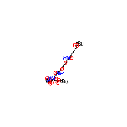 CC(C)(C)OC(=O)CCCCCCCCC(=O)NCCCOCCCCOCCCNC(=O)CCC(=O)N[C@@H](CCC(=O)OC(C)(C)C)C(=O)ON1C(=O)CCC1=O